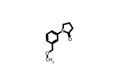 COCc1cccc(N2CCCC2=O)c1